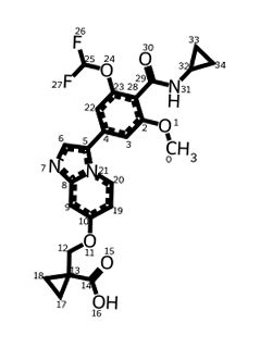 COc1cc(-c2cnc3cc(OCC4(C(=O)O)CC4)ccn23)cc(OC(F)F)c1C(=O)NC1CC1